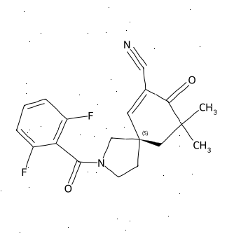 CC1(C)C[C@@]2(C=C(C#N)C1=O)CCN(C(=O)c1c(F)cccc1F)C2